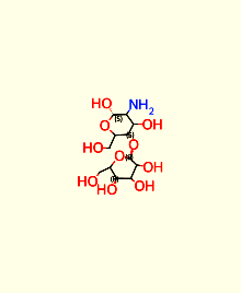 NC1C(O)[C@H](O[C@@H]2OC(CO)[C@H](O)C(O)C2O)C(CO)O[C@@H]1O